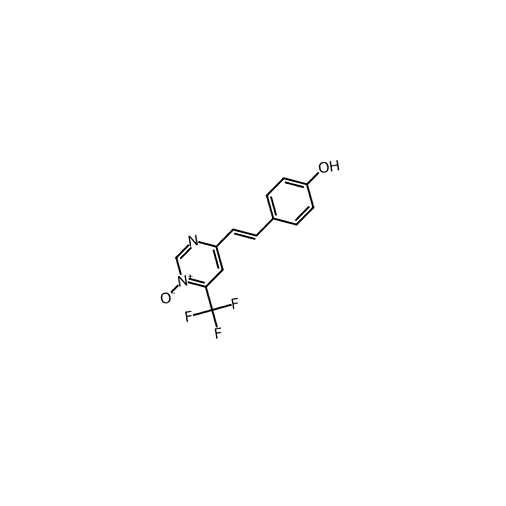 [O-][n+]1cnc(C=Cc2ccc(O)cc2)cc1C(F)(F)F